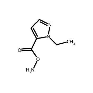 CCn1nccc1C(=O)ON